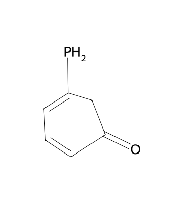 O=C1C=CC=C(P)C1